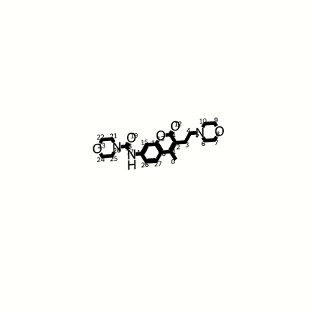 Cc1c(CCN2CCOCC2)c(=O)oc2cc(NC(=O)N3CCOCC3)ccc12